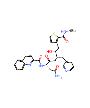 CC(C)(C)NC(=O)c1sccc1C[C@@H](O)[C@H](CC(=O)[C@H](CC(N)=O)NC(=O)c1ccc2ccccc2n1)Cc1cccnc1